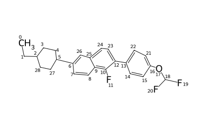 CCC1CCC(c2ccc3c(F)c(-c4ccc(OC(F)F)cc4)ccc3c2)CC1